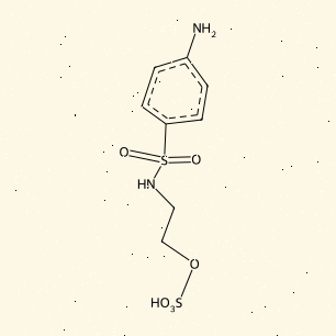 Nc1ccc(S(=O)(=O)NCCOS(=O)(=O)O)cc1